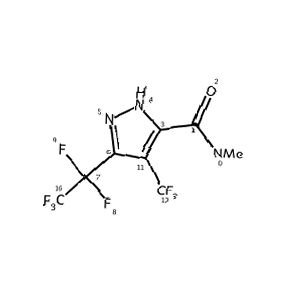 CNC(=O)c1[nH]nc(C(F)(F)C(F)(F)F)c1C(F)(F)F